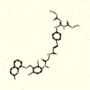 Cc1ccc2cccc(OCc3c(Cl)ccc(N(C)C(=O)CNC(=O)/C=C/c4ccc(N/C(=N\C(=O)OC(C)(C)C)NC(=O)OC(C)(C)C)cc4)c3Cl)c2n1